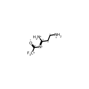 NCCC(N)=NC(=O)C(F)(F)F